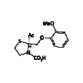 COc1ccccc1OC[C@]1(C(C)=O)SCCN1C(=O)O